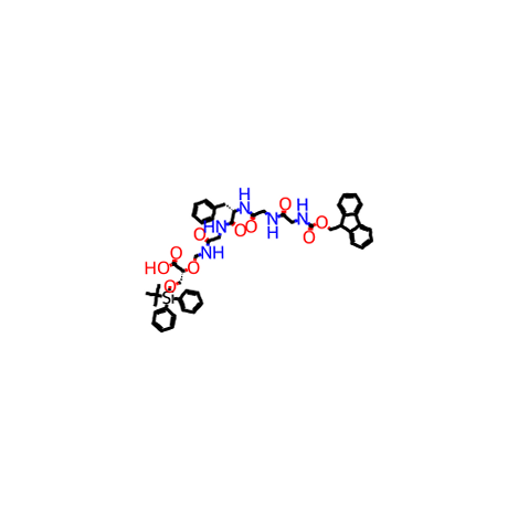 CC(C)(C)[Si](OC[C@@H](OCNC(=O)CNC(=O)[C@H](Cc1ccccc1)NC(=O)CNC(=O)CNC(=O)OCC1c2ccccc2-c2ccccc21)C(=O)O)(c1ccccc1)c1ccccc1